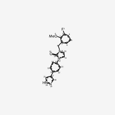 COc1c(F)cccc1Cn1ccn(-c2ccc(-c3cn[nH]c3)cc2)c1=O